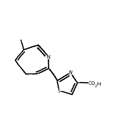 CC1=CCC=C(c2nc(C(=O)O)cs2)N=C1